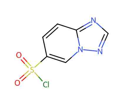 O=S(=O)(Cl)c1ccc2ncnn2c1